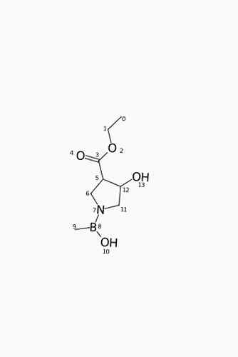 CCOC(=O)C1CN(B(C)O)CC1O